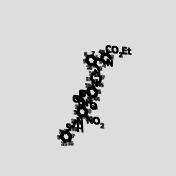 CCOC(=O)c1cncc(-c2ccccc2CN2CCN(c3ccc(C(=O)N(c4ccc(NCCSc5ccccc5)c([N+](=O)[O-])c4)[SH](=O)=O)cc3)CC2)c1